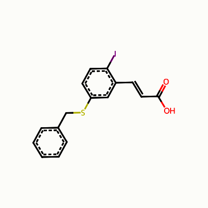 O=C(O)C=Cc1cc(SCc2ccccc2)ccc1I